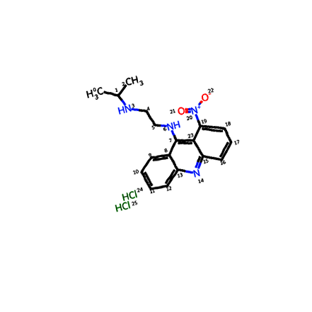 CC(C)NCCNc1c2ccccc2nc2cccc([N+](=O)[O-])c12.Cl.Cl